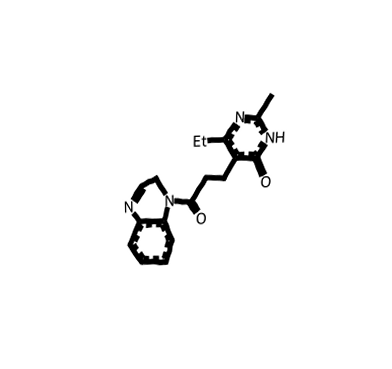 CCc1nc(C)[nH]c(=O)c1CCC(=O)N1CC=Nc2ccccc21